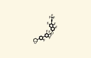 Fc1cc(C2CCCOC2)ccc1-c1cc(F)c(C(F)(F)Oc2cc(F)c3c(F)c(C#CC(F)(F)F)c(F)cc3c2)c(F)c1